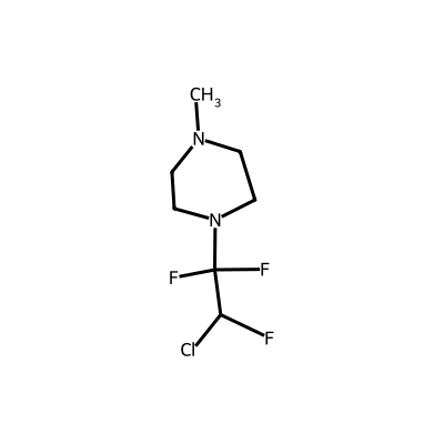 CN1CCN(C(F)(F)C(F)Cl)CC1